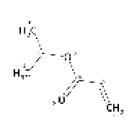 [CH2]C(C)OC(=O)C=C